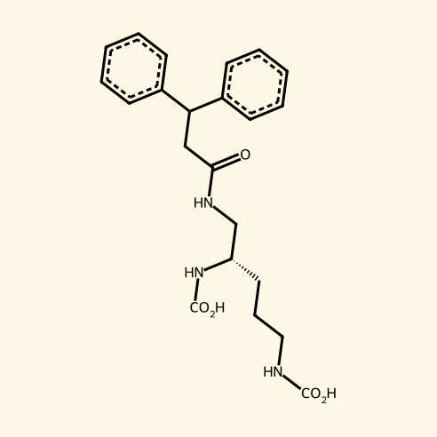 O=C(O)NCCC[C@@H](CNC(=O)CC(c1ccccc1)c1ccccc1)NC(=O)O